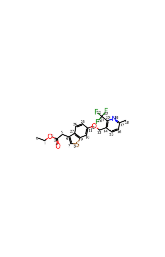 CCOC(=O)Cc1csc2cc(OCc3ccc(C)nc3C(F)(F)F)ccc12